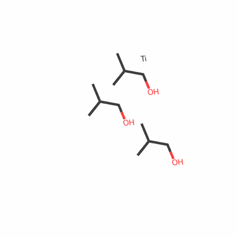 CC(C)CO.CC(C)CO.CC(C)CO.[Ti]